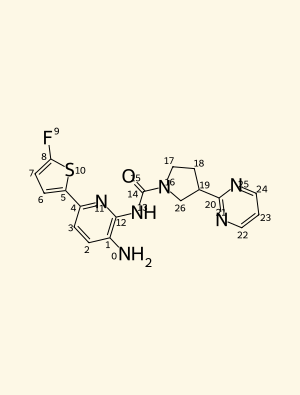 Nc1ccc(-c2ccc(F)s2)nc1NC(=O)N1CCC(c2ncccn2)C1